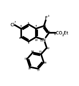 CCOC(=O)c1c(F)c2cc(Cl)ccc2n1Cc1ccccc1